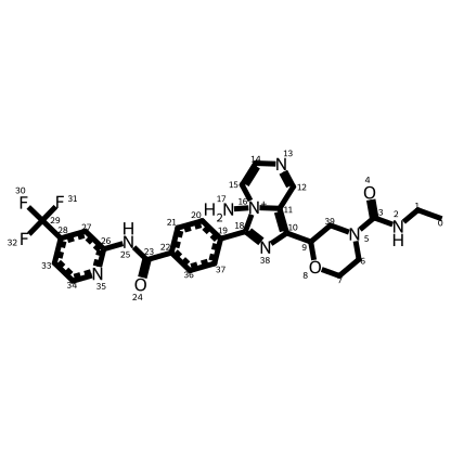 CCNC(=O)N1CCOC(C2=C3C=NC=C[N+]3(N)C(c3ccc(C(=O)Nc4cc(C(F)(F)F)ccn4)cc3)=N2)C1